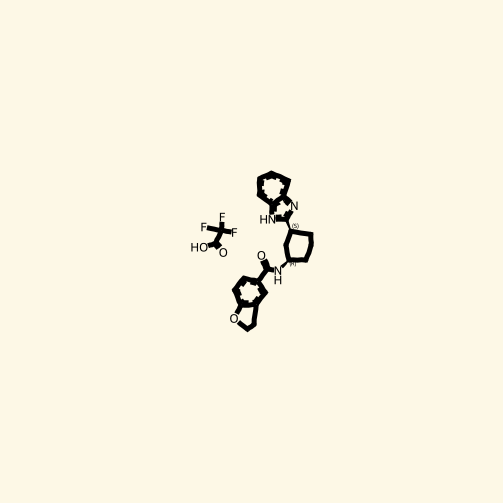 O=C(N[C@@H]1CCC[C@H](c2nc3ccccc3[nH]2)C1)c1ccc2c(c1)CCO2.O=C(O)C(F)(F)F